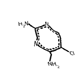 Nc1ncc(Cl)c(N)n1